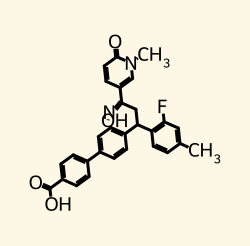 Cc1ccc(C(C/C(=N\O)c2ccc(=O)n(C)c2)c2ccc(-c3ccc(C(=O)O)cc3)cc2)c(F)c1